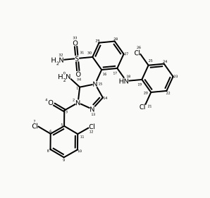 NC1N(C(=O)c2c(Cl)cccc2Cl)N=CN1c1c(Nc2c(Cl)cccc2Cl)cccc1S(N)(=O)=O